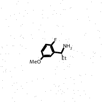 CC[C@@H](N)c1cc(OC)ccc1F